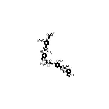 COc1cc(-c2nc(N(C)c3ccc4[nH]ncc4c3)n(C)n2)ccc1OCC(=O)NC(C)Cn1ncc2cc(Nc3nc(C4=CC=C(OCC(=O)NC(C)C)C(OC)C4)nn3C)ccc21